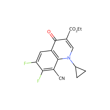 CCOC(=O)c1cn(C2CC2)c2c(C#N)c(F)c(F)cc2c1=O